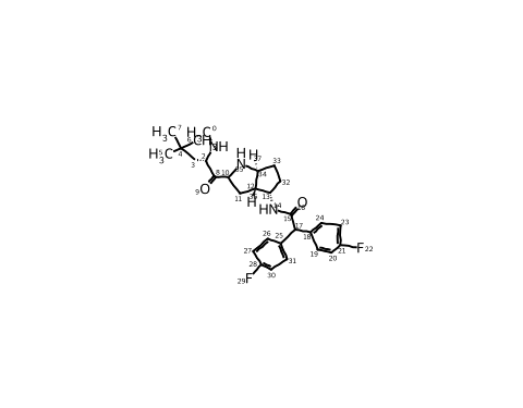 CN[C@@H](CC(C)(C)C)C(=O)C1C[C@H]2[C@@H](NC(=O)C(c3ccc(F)cc3)c3ccc(F)cc3)CC[C@@H]2N1